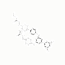 CCOC(=O)CCN1CCN(c2ncc(Oc3cc(CN4CCN(CCC(N)=O)CC4)cc(-c4cc(Cl)cc(Cl)c4)n3)cn2)CC1